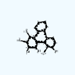 Sc1ccc2c3ccccc3c3c(S)c(S)c(S)c(S)c3c2c1S